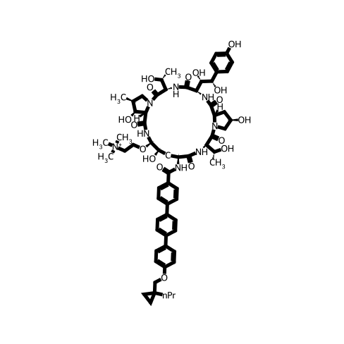 CCCC1(COc2ccc(-c3ccc(-c4ccc(C(=O)N[C@H]5C[C@@H](O)[C@@H](OCC[N+](C)(C)C)NC(=O)[C@@H]6[C@@H](O)[C@@H](C)CN6C(=O)[C@H]([C@@H](C)O)NC(=O)[C@H]([C@H](O)[C@@H](O)c6ccc(O)cc6)NC(=O)[C@@H]6C[C@@H](O)CN6C(=O)[C@H]([C@@H](C)O)NC5=O)cc4)cc3)cc2)CC1